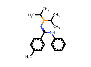 Cc1ccc(C(=NP(C(C)C)C(C)C)Nc2ccccc2)cc1